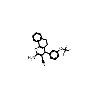 N#CC1=C(N)OC2=C(CCc3ccccc32)C1c1cccc(OC(F)(F)F)c1